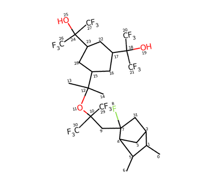 CC1C2CC(C1C)C(F)(CC(OC(C)(C)C1CC(C(O)(C(F)(F)F)C(F)(F)F)CC(C(O)(C(F)(F)F)C(F)(F)F)C1)(C(F)(F)F)C(F)(F)F)C2